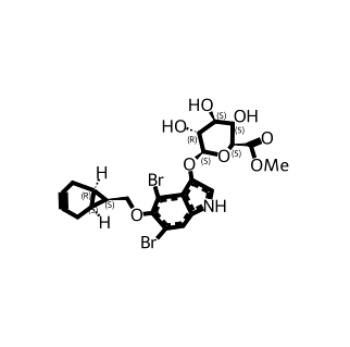 COC(=O)[C@H]1O[C@@H](Oc2c[nH]c3cc(Br)c(OC[C@@H]4[C@@H]5CC#CC[C@@H]54)c(Br)c23)[C@H](O)[C@@H](O)[C@@H]1O